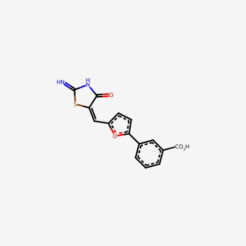 N=C1NC(=O)/C(=C\c2ccc(-c3cccc(C(=O)O)c3)o2)S1